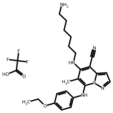 CCOc1ccc(Nc2c(C)c(NCCCCCCN)c(C#N)c3ccnn23)cc1.O=C(O)C(F)(F)F